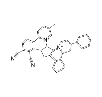 Cc1ccc2[n+](c1)C1c3c(c4ccccc4c4cc(-c5ccccc5)cc[n+]34)CC1c1c-2ccc(C#N)c1C#N